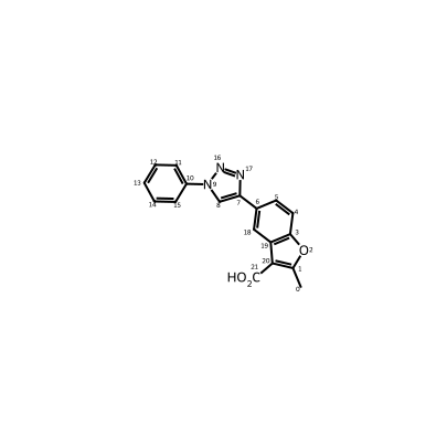 Cc1oc2ccc(-c3cn(-c4ccccc4)nn3)cc2c1C(=O)O